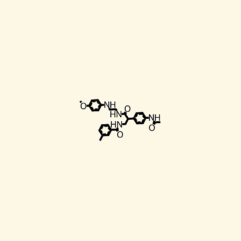 COc1ccc(NCCNC(=O)C(CNC(=O)c2cccc(C)c2)c2ccc(NC(C)=O)cc2)cc1